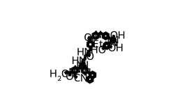 C=CC(=O)N1CCN(c2nc(NCCC(=O)NCC3CCN(C(=O)C4CCN(Cc5ccc(-n6c(O)nnc6-c6cc(CC)c(O)cc6O)cc5)CC4)CC3)nc3c2CCN(c2cccc4ccccc24)C3)CC1CC#N